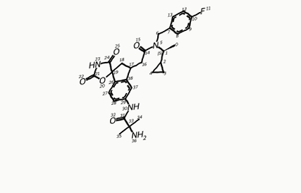 C[C@@H](C1CC1)N(Cc1ccc(F)cc1)C(=O)CC1CC2(OC(=O)NC2=O)c2ccc(NC(=O)C(C)(C)N)cc21